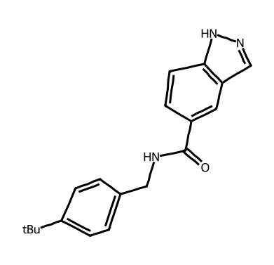 CC(C)(C)c1ccc(CNC(=O)c2ccc3[nH]ncc3c2)cc1